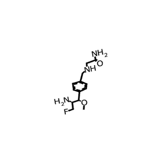 CO[C@H](c1ccc(CNCC(N)=O)cc1)[C@H](N)CF